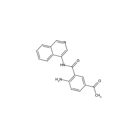 CC(=O)c1ccc(N)c(C(=O)Nc2cncc3ccccc23)c1